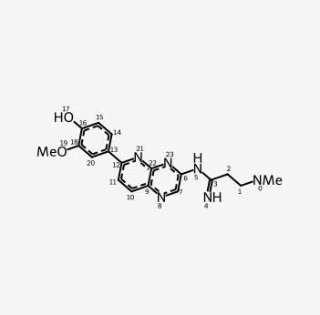 CNCCC(=N)Nc1cnc2ccc(-c3ccc(O)c(OC)c3)nc2n1